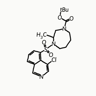 CC1CN(C(=O)OC(C)(C)C)CCCCN1S(=O)(=O)c1cccc2cncc(Cl)c12